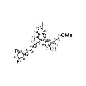 COCCCN1CCOc2ccc(CO[C@H]3CNCC[C@@H]3c3ccc(OCCCOc4cc(F)cc(F)c4)cc3)cc21